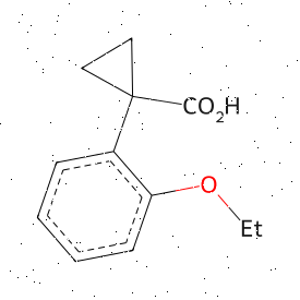 CCOc1ccccc1C1(C(=O)O)CC1